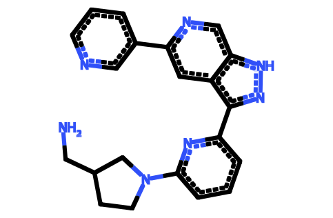 NCC1CCN(c2cccc(-c3n[nH]c4cnc(-c5cccnc5)cc34)n2)C1